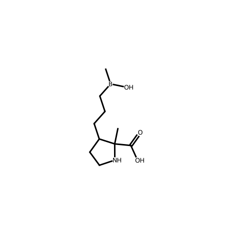 CB(O)CCCC1CCNC1(C)C(=O)O